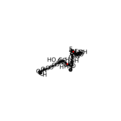 CC[C@@]1(O)C(=O)OCc2c1cc1n(c2=O)Cc2c-1nc1cc(F)c(C)c3c1c2[C@@H](NC(=O)CCNC(=O)CNC(=O)[C@H](Cc1ccccc1)NC(=O)CNC(=O)CNC(=O)[C@H](CC(=O)O)NC(=O)CCOCCOCCOCCOCCNC(=O)CCN1C(=O)C=CC1=O)CC3